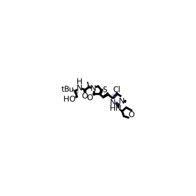 C=N/C(=N\C(=C(/C)Cl)c1cc2c(s1)CN([C@H](C)C(=O)N[C@H](CO)C(C)(C)C)C2=O)NC1CCOCC1